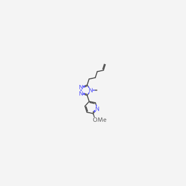 C=CCCCc1nnc(-c2ccc(OC)nc2)n1C